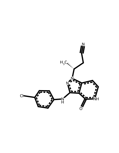 C[C@H](CC#N)n1nc(Nc2ccc(Cl)cc2)c2c(=O)[nH]ccc21